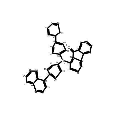 O=C1c2ccccc2-c2cccc(N(c3ccc(-c4cccc5ccccc45)cc3)c3ccc(C4C=CC=CC4)cc3)c21